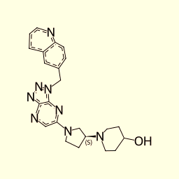 OC1CCN([C@H]2CCN(c3cnc4nnn(Cc5ccc6ncccc6c5)c4n3)C2)CC1